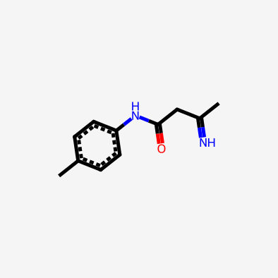 CC(=N)CC(=O)Nc1ccc(C)cc1